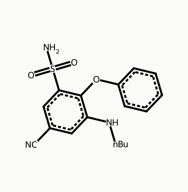 CCCCNc1cc(C#N)cc(S(N)(=O)=O)c1Oc1ccccc1